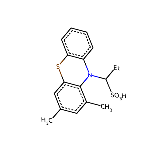 CCC(N1c2ccccc2Sc2cc(C)cc(C)c21)S(=O)(=O)O